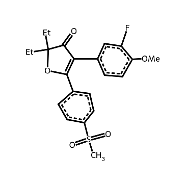 CCC1(CC)OC(c2ccc(S(C)(=O)=O)cc2)=C(c2ccc(OC)c(F)c2)C1=O